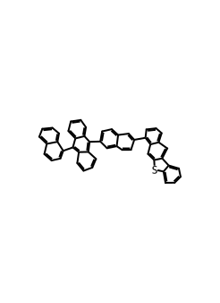 c1cc(-c2ccc3cc(-c4c5ccccc5c(-c5cccc6ccccc56)c5ccccc45)ccc3c2)c2cc3sc4ccccc4c3cc2c1